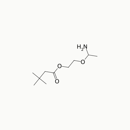 CC(N)OCCOC(=O)CC(C)(C)C